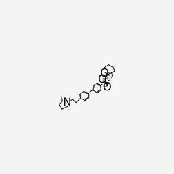 CC1CCCN1CCc1ccc(-c2ccc(S(=O)(=O)C[C@H]3CCCCO3)cc2)cc1